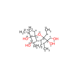 CCC(O)(CO)C(CC)(CC)OC(CC)(CC)C(O)(CC)CO